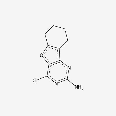 Nc1nc(Cl)c2oc3c(c2n1)CCCC3